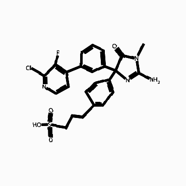 CN1C(=O)C(c2ccc(CCCS(=O)(=O)O)cc2)(c2cccc(-c3ccnc(Cl)c3F)c2)N=C1N